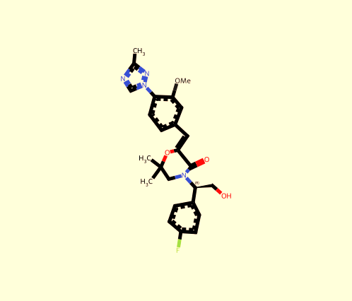 COc1cc(C=C2OC(C)(C)CN([C@@H](CO)c3ccc(F)cc3)C2=O)ccc1-n1cnc(C)n1